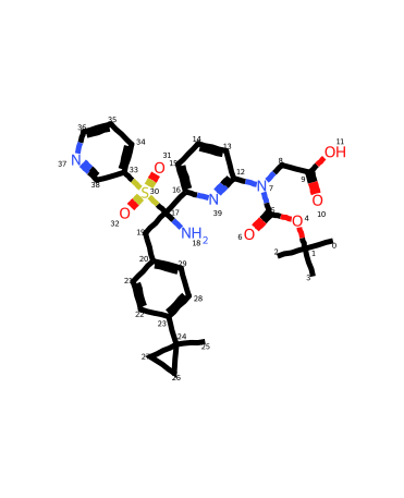 CC(C)(C)OC(=O)N(CC(=O)O)c1cccc(C(N)(Cc2ccc(C3(C)CC3)cc2)S(=O)(=O)c2cccnc2)n1